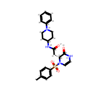 Cc1ccc(S(=O)(=O)N2C=CNC(=O)[C@H]2CC(=O)NC2CCN(c3ccccc3)CC2)cc1